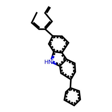 C=C/C=C(\C=C/C)c1ccc2c(c1)[nH]c1cc(-c3ccccc3)ccc12